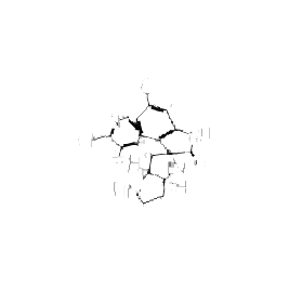 O=C1Nc2cc(Cl)ccc2[C@]12N[C@H]1CCN[C@H]1[C@@H]2c1ccnc(Cl)c1F